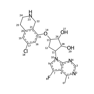 Cc1ncnc2c1c(F)cn2C1CC(Oc2cc(Cl)cc3c2CNCC3)C(O)C1O